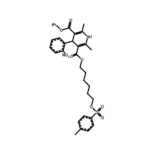 CC1=C(C(=O)OCCCCCCOS(=O)(=O)c2ccc(C)cc2)C(c2ccccc2[N+](=O)[O-])C(C(=O)OC(C)C)=C(C)N1